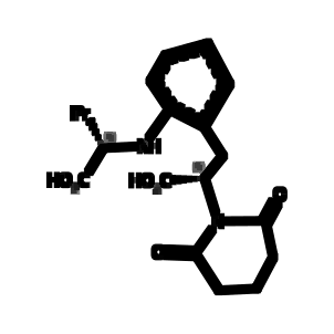 CC(C)[C@H](Nc1ccccc1C[C@@H](C(=O)O)N1C(=O)CCCC1=O)C(=O)O